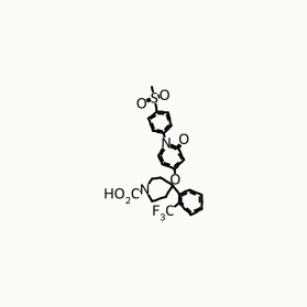 CS(=O)(=O)c1ccc(-n2ccc(OC3(c4ccccc4C(F)(F)F)CCN(C(=O)O)CC3)cc2=O)cc1